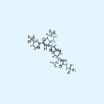 O=C(CCC(F)(F)F)NC(c1cnn2cc([C@@H](NC(=O)c3cc(C(F)(F)F)ccn3)C3CCC(F)(F)CC3)nc2c1)C1CC1